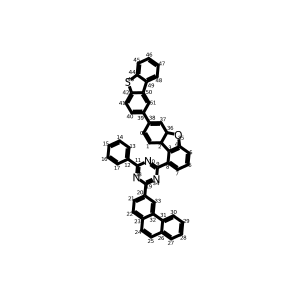 C1=CC2c3c(cccc3-c3nc(-c4ccccc4)nc(-c4ccc5ccc6ccccc6c5c4)n3)OC2C=C1c1ccc2sc3ccccc3c2c1